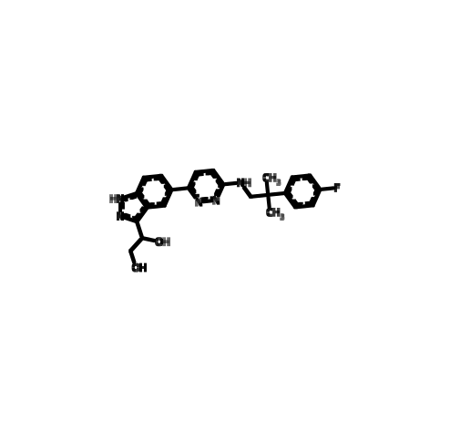 CC(C)(CNc1ccc(-c2ccc3[nH]nc(C(O)CO)c3c2)nn1)c1ccc(F)cc1